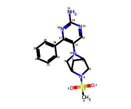 CS(=O)(=O)N1CC2CC1CN2c1cnc(N)nc1-c1ccccc1